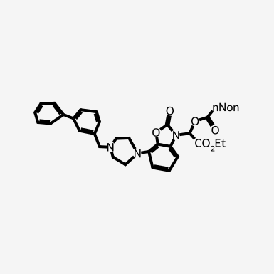 CCCCCCCCCC(=O)OC(C(=O)OCC)n1c(=O)oc2c(N3CCN(Cc4cccc(-c5ccccc5)c4)CC3)cccc21